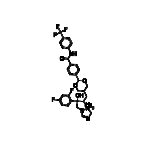 CC(CC1COC(c2ccc(C(=O)Nc3ccc(C(F)(F)F)cc3)cc2)OC1)C(O)(CN1C=NCN1)c1ccc(F)cc1F